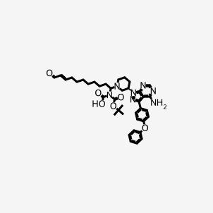 CC(C)(C)OC(=O)N(C(=O)O)C(CCCCCCCC=CC=O)N1CCC[C@@H](n2nc(-c3ccc(Oc4ccccc4)cc3)c3c(N)ncnc32)C1